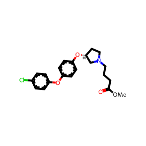 COC(=O)CCCN1CC[C@@H](Oc2ccc(Oc3ccc(Cl)cc3)cc2)C1